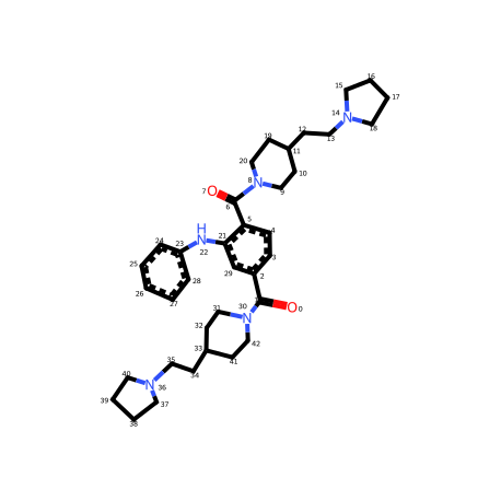 O=C(c1ccc(C(=O)N2CCC(CCN3CCCC3)CC2)c(Nc2ccccc2)c1)N1CCC(CCN2CCCC2)CC1